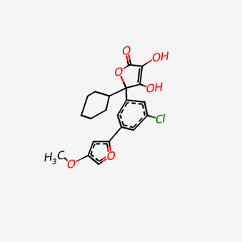 COc1coc(-c2cc(Cl)cc(C3(C4CCCCC4)OC(=O)C(O)=C3O)c2)c1